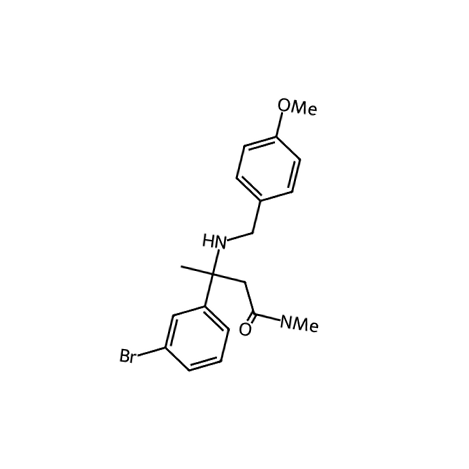 CNC(=O)CC(C)(NCc1ccc(OC)cc1)c1cccc(Br)c1